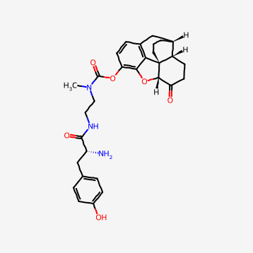 CN(CCNC(=O)[C@H](N)Cc1ccc(O)cc1)C(=O)Oc1ccc2c3c1O[C@H]1C(=O)CC[C@H]4[C@H](CCC[C@]314)C2